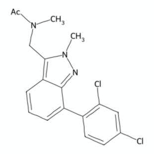 CC(=O)N(C)Cc1c2cccc(-c3ccc(Cl)cc3Cl)c2nn1C